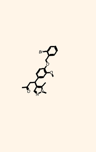 COc1cc(C(CC(C)=O)c2cnn(C)c2C)ccc1OCc1ccccc1Br